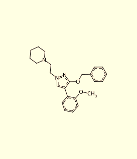 COc1ccccc1-c1cn(CCN2CCCCC2)nc1OCc1ccccc1